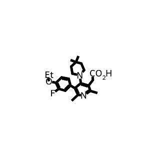 CCOc1ccc(-c2c(C)nc(C)c(CC(=O)O)c2N2CCC(C)(C)CC2)cc1F